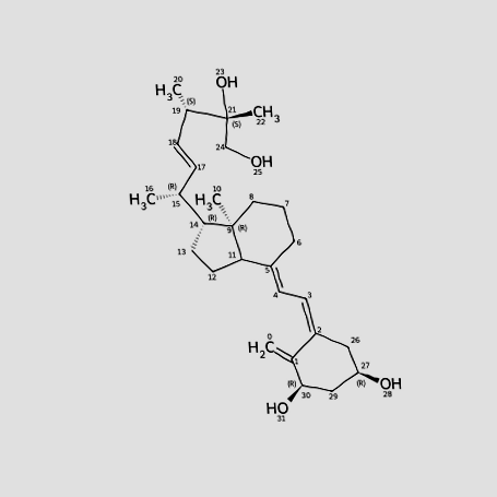 C=C1C(=CC=C2CCC[C@@]3(C)C2CC[C@@H]3[C@H](C)C=C[C@H](C)[C@](C)(O)CO)C[C@@H](O)C[C@H]1O